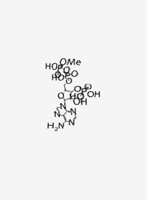 COP(=O)(O)OP(=O)(O)OCC1OC(n2cnc3c(N)ncnc32)C(O)C1OP(=O)(O)O